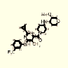 CO[C@H]1COCC[C@H]1NC1CCN(C(=O)c2nc(C3CC3)nc(Nc3cccc(C(F)(F)F)c3)c2C)CC1